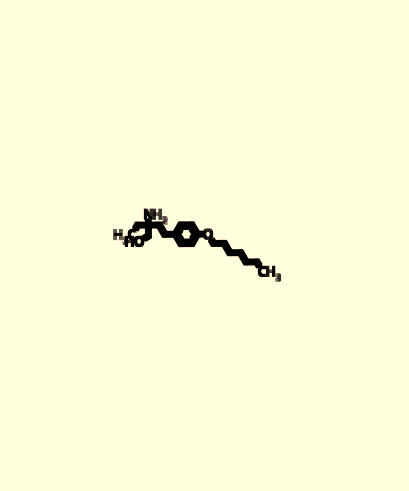 CCCCCCCOc1ccc(CCC(N)(CC)CO)cc1